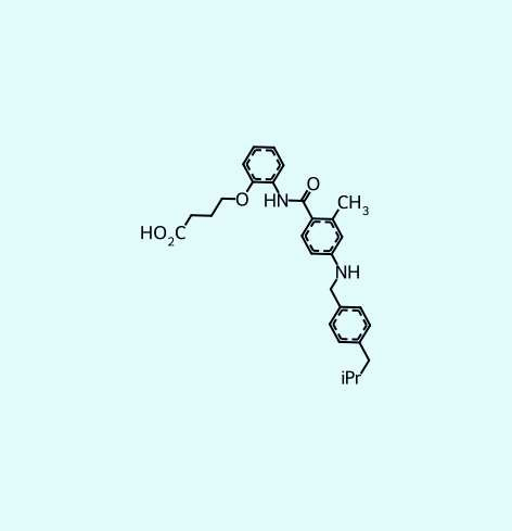 Cc1cc(NCc2ccc(CC(C)C)cc2)ccc1C(=O)Nc1ccccc1OCCCC(=O)O